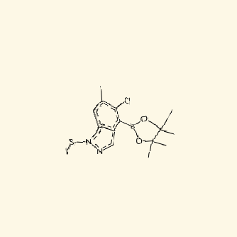 Cc1cc2c(cnn2SI)c(B2OC(C)(C)C(C)(C)O2)c1Cl